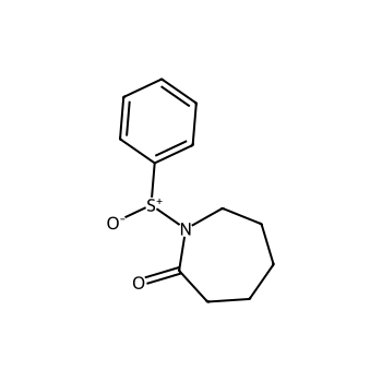 O=C1CCCCCN1[S+]([O-])c1ccccc1